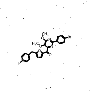 COc1nc(-c2ccc(Br)cc2)nc(C(=O)c2ccc(Cc3ccc(F)cc3)o2)c1OC